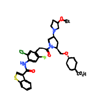 CCOC1CCN([C@H]2C[C@@H](CO[C@H]3CC[C@H](C(=O)O)CC3)N(C(=O)Cc3cc(Cl)c(NC(=O)c4csc5ccccc45)cc3F)C2)C1